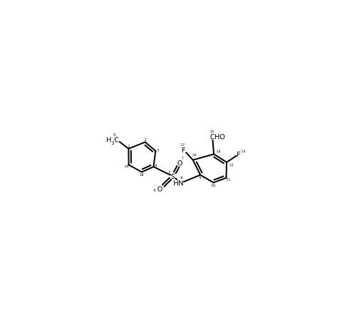 Cc1ccc(S(=O)(=O)Nc2ccc(F)c(C=O)c2F)cc1